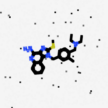 CCN(CC)Cc1ccc(Cn2c(SC)nc3c(N)nc4ccccc4c32)cc1C